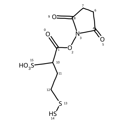 O=C(ON1C(=O)CCC1=O)C(CCSS)S(=O)(=O)O